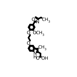 CCc1coc(-c2ccc(OCCCOc3ccc4[nH]c(CC(=O)O)c(C)c4c3)c(OC)c2)n1